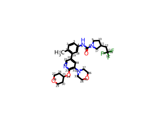 Cc1ccc(NC(=O)N2CCC(CC(F)(F)F)C2)cc1-c1cnc(OC2CCOCC2)c(N2CCOCC2)c1